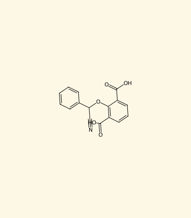 N#CC(Oc1c(C(=O)O)cccc1C(=O)O)c1ccccc1